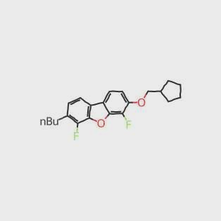 CCCCc1ccc2c(oc3c(F)c(OCC4CCCC4)ccc32)c1F